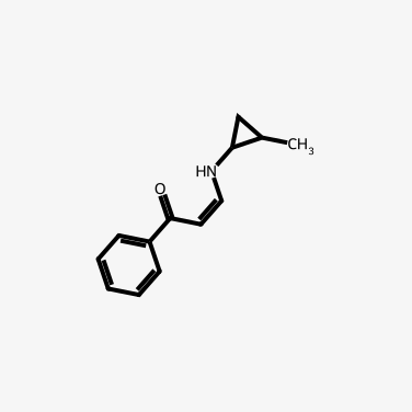 CC1CC1N/C=C\C(=O)c1ccccc1